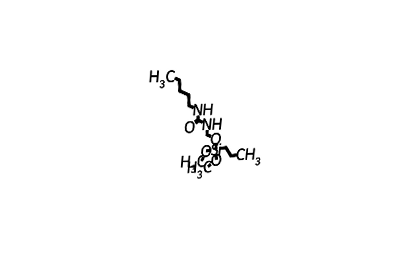 CCCCCNC(=O)NCO[Si](CCC)(OC)OC